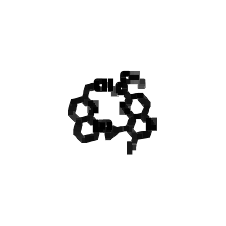 C=Cc1ccc2cccnc2n1.COc1ccc2ncc(F)c(C3CO3)c2n1